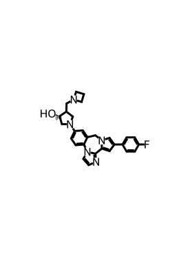 O[C@H]1CN(c2ccc3c(c2)Cn2cc(-c4ccc(F)cc4)cc2-c2nccn2-3)CC1CN1CCC1